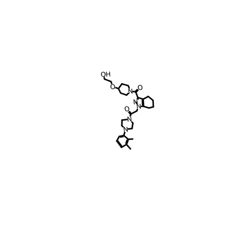 Cc1cccc(N2CCN(C(=O)Cn3nc(C(=O)N4CCC(OCCO)CC4)c4c3CCCC4)CC2)c1C